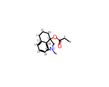 CCC(=O)OC1(CN(C)C)CCCc2ccccc21